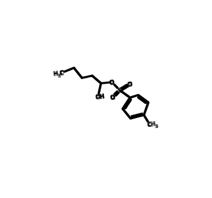 CCCCC(O)OS(=O)(=O)c1ccc(C)cc1